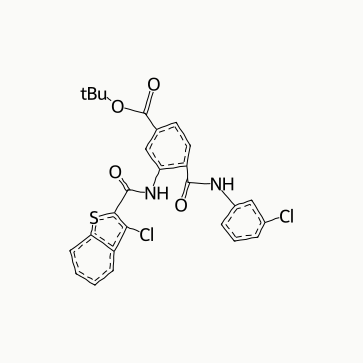 CC(C)(C)OC(=O)c1ccc(C(=O)Nc2cccc(Cl)c2)c(NC(=O)c2sc3ccccc3c2Cl)c1